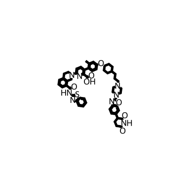 Cc1cc(OC2CCC(CCCN3CCN(c4nc5ccc(C6CCC(=O)NC6=O)cc5o4)CC3)CC2)ccc1-c1ccc(N2CCc3cccc(C(=O)Nc4nc5ccccc5s4)c3C2)nc1C(=O)O